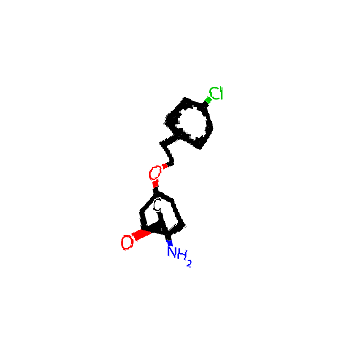 NC12CCC(OCCc3ccc(Cl)cc3)(CC1)CC2=O